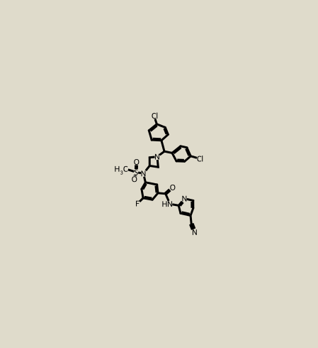 CS(=O)(=O)N(c1cc(F)cc(C(=O)Nc2cc(C#N)ccn2)c1)C1CN(C(c2ccc(Cl)cc2)c2ccc(Cl)cc2)C1